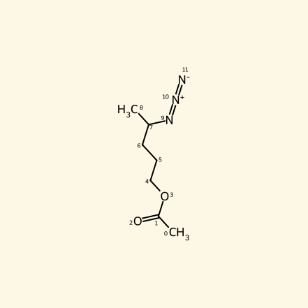 CC(=O)OCCCC(C)N=[N+]=[N-]